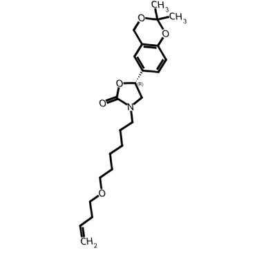 C=CCCOCCCCCCN1C[C@@H](c2ccc3c(c2)COC(C)(C)O3)OC1=O